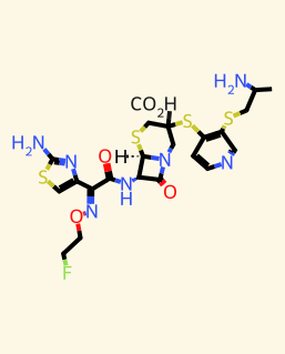 CC(N)CSc1cnccc1SC1(C(=O)O)CS[C@@H]2[C@H](NC(=O)C(=NOCCF)c3csc(N)n3)C(=O)N2C1